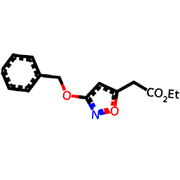 CCOC(=O)Cc1cc(OCc2ccccc2)no1